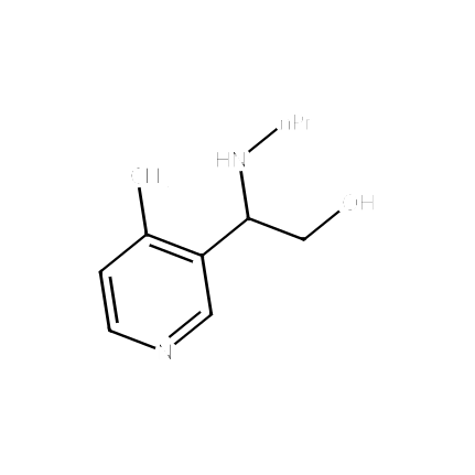 CCCNC(CO)c1cnccc1C